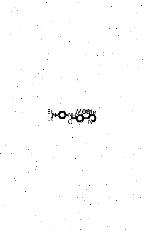 CCN(CC)c1ccc(NC(=O)c2ccc(-c3ncccc3OC)c(OC)c2)cc1